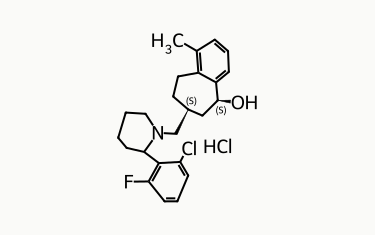 Cc1cccc2c1CC[C@H](CN1CCCCC1c1c(F)cccc1Cl)C[C@@H]2O.Cl